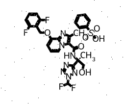 Cc1nc2c(OCc3c(F)cccc3F)cccn2c1C(=O)N[C@@](C)(CO)c1nnn(C(F)F)n1.O=S(=O)(O)c1ccccc1